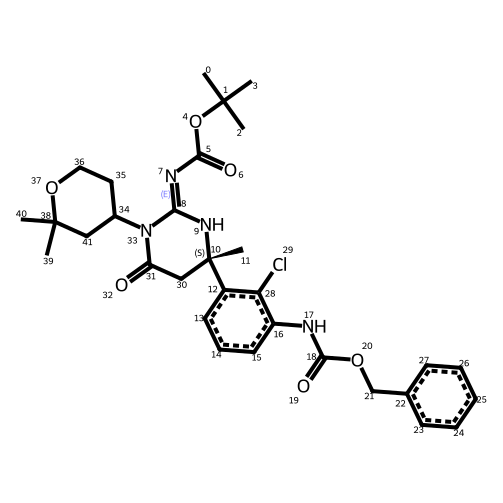 CC(C)(C)OC(=O)/N=C1\N[C@](C)(c2cccc(NC(=O)OCc3ccccc3)c2Cl)CC(=O)N1C1CCOC(C)(C)C1